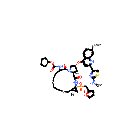 COc1ccc2c(O[C@@H]3C[C@H]4C(=O)N[C@]5(P(=O)(O)Cc6ccco6)C[C@H]5CCCCCCCC(NC(=O)OC5CCCC5)C(=O)N4C3)cc(-c3csc(NC(C)C)n3)nc2c1